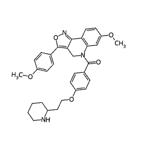 COc1ccc(-c2onc3c2CN(C(=O)c2ccc(OCCC4CCCCN4)cc2)c2cc(OC)ccc2-3)cc1